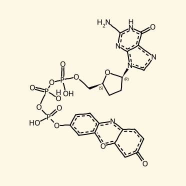 Nc1nc2c(ncn2[C@H]2CC[C@@H](COP(=O)(O)OP(=O)(O)OP(=O)(O)Oc3ccc4nc5ccc(=O)cc-5oc4c3)O2)c(=O)[nH]1